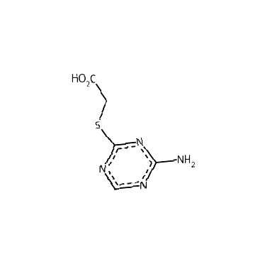 Nc1ncnc(SCC(=O)O)n1